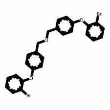 Brc1ccccc1Oc1ccc(COCc2ccc(Oc3ccccc3Br)cc2)cc1